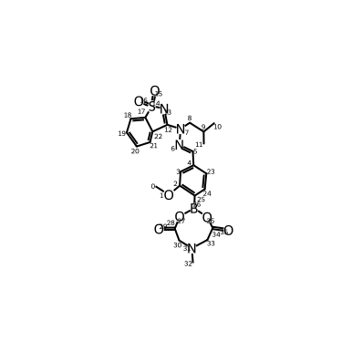 COc1cc(/C=N/N(CC(C)C)C2=NS(=O)(=O)c3ccccc32)ccc1B1OC(=O)CN(C)CC(=O)O1